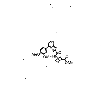 COC(=O)C1CC2(NC(=O)c3cc4nccc(-c5ccc(OC)c(OC)c5)n4n3)CCC12